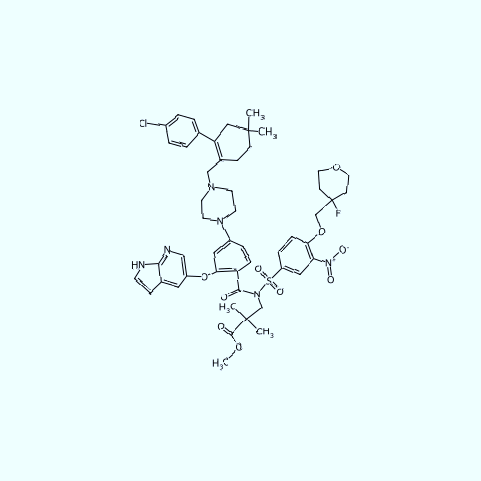 COC(=O)C(C)(C)CN(C(=O)c1ccc(N2CCN(CC3=C(c4ccc(Cl)cc4)CC(C)(C)CC3)CC2)cc1Oc1cnc2[nH]ccc2c1)S(=O)(=O)c1ccc(OCC2(F)CCOCC2)c([N+](=O)[O-])c1